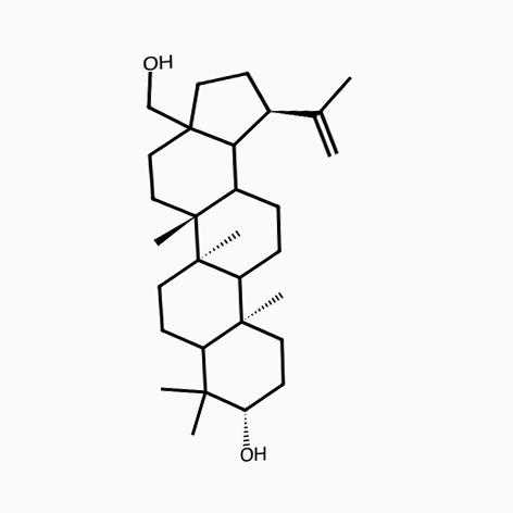 C=C(C)[C@@H]1CCC2(CO)CC[C@]3(C)C(CCC4[C@@]5(C)CC[C@H](O)C(C)(C)C5CC[C@]43C)C12